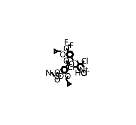 CN(C)CCS(=O)(=O)Oc1ccc(C(=O)O[C@@H](Cc2c(Cl)c[n+]([O-])cc2Cl)c2ccc(OC(F)F)c(OCC3CC3)c2)cc1OCC1CC1.Cl